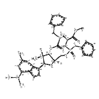 CC(C)OC(=O)[C@H](C)NP(=O)(OC[C@@]1(F)O[C@@H](n2cnc3c(N(C)C)nc(N)nc32)[C@](C)(F)[C@@H]1OC(=O)OCc1ccccc1)Oc1ccccc1